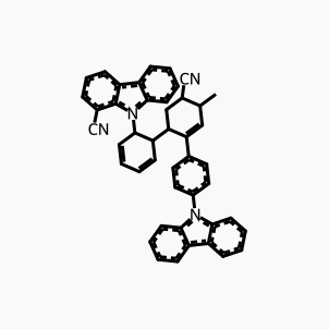 CC1C=C(c2ccc(-n3c4ccccc4c4ccccc43)cc2)C(C2C=CC=CC2n2c3ccccc3c3cccc(C#N)c32)CC1C#N